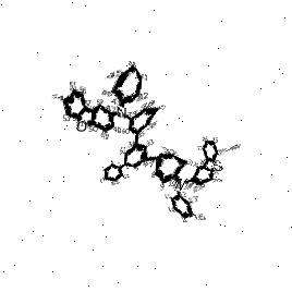 c1ccc(-c2cc(-c3ccc(N(c4ccccc4)c4ccc5oc6ccccc6c5c4)cc3)cc(-c3cccc(N(c4ccccc4)c4ccc5oc6ccccc6c5c4)c3)c2)cc1